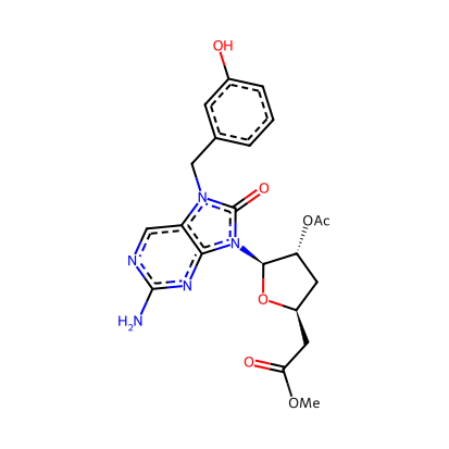 COC(=O)C[C@@H]1C[C@@H](OC(C)=O)[C@H](n2c(=O)n(Cc3cccc(O)c3)c3cnc(N)nc32)O1